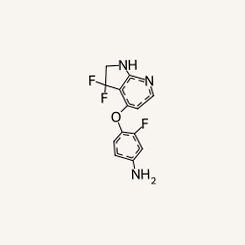 Nc1ccc(Oc2ccnc3c2C(F)(F)CN3)c(F)c1